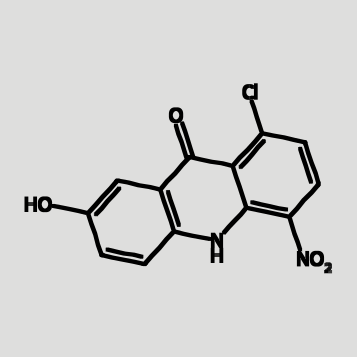 O=c1c2cc(O)ccc2[nH]c2c([N+](=O)[O-])ccc(Cl)c12